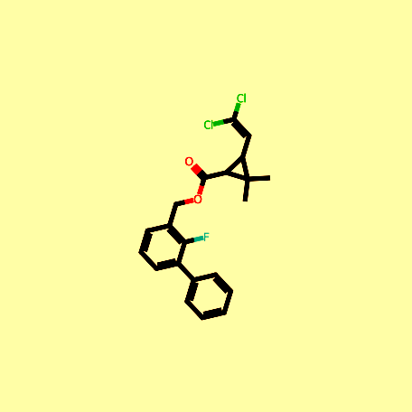 CC1(C)C(C=C(Cl)Cl)C1C(=O)OCc1cccc(-c2ccccc2)c1F